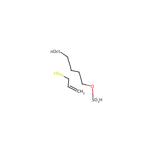 C=CCS.CCCCCCCCCCCCOS(=O)(=O)O